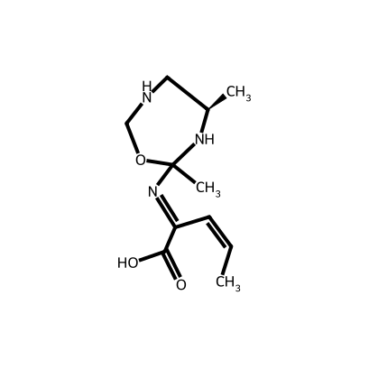 C/C=C\C(=N/C1(C)N[C@H](C)CNCO1)C(=O)O